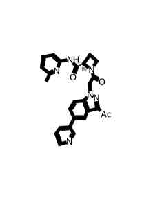 CC(=O)c1nn(CC(=O)N2CC[C@H]2C(=O)Nc2cccc(C)n2)c2ccc(-c3cccnc3)cc12